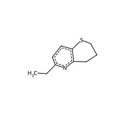 CCc1ccc2c(n1)CCCS2